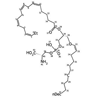 CC/C=C\C/C=C\C/C=C\C/C=C\CCCCC(=O)O[C@H](CO/C=C\CCCCCCCCCCCCCCCCCC)COP(=O)(O)OC[C@H](N)C(=O)O